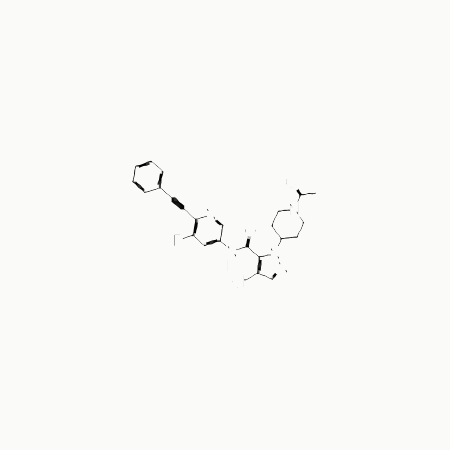 CC(=O)N1CCC(n2ncc(Cl)c2C(=O)Nc2cnc(C#Cc3ccccc3)c(F)c2)CC1